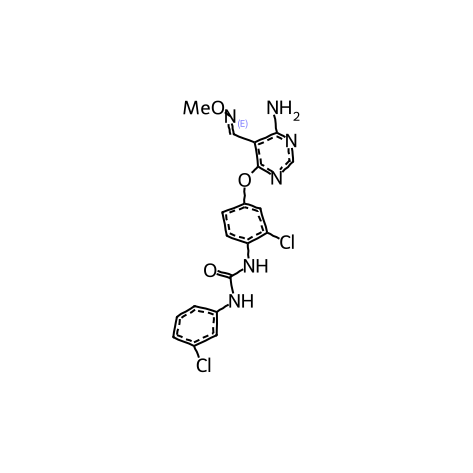 CO/N=C/c1c(N)ncnc1Oc1ccc(NC(=O)Nc2cccc(Cl)c2)c(Cl)c1